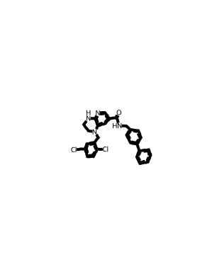 O=C(NCc1ccc(-c2ccccc2)cc1)c1cnc2c(c1)N(Cc1cc(Cl)ccc1Cl)CCN2